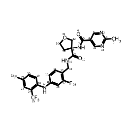 Cc1ncc(C(=O)N[C@@]2(C(=O)NCc3ccc(Nc4ccc(F)cc4C(F)(F)F)cc3F)CCOC2)cn1